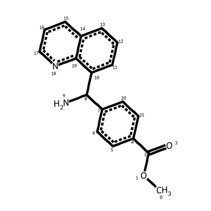 COC(=O)c1ccc(C(N)c2cccc3cccnc23)cc1